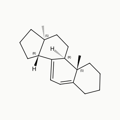 C[C@@]12CCC[C@H]1C1=CC=C3CCCC[C@@]3(C)[C@@H]1CC2